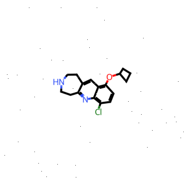 Clc1ccc(OC2CCC2)c2cc3c(nc12)CCNCC3